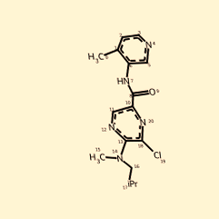 Cc1ccncc1NC(=O)c1cnc(N(C)CC(C)C)c(Cl)n1